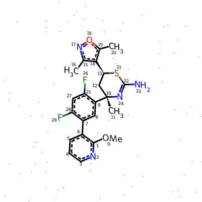 COc1ncccc1-c1cc([C@]2(C)C[C@@H](c3c(C)noc3C)SC(N)=N2)c(F)cc1F